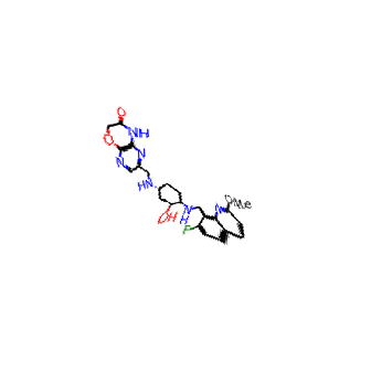 COc1ccc2ccc(F)c(CN[C@@H]3CC[C@@H](NCc4cnc5c(n4)NC(=O)CO5)C[C@@H]3O)c2n1